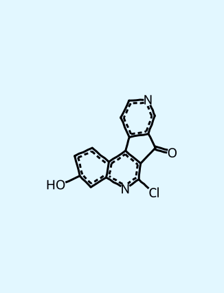 O=C1c2cnccc2-c2c1c(Cl)nc1cc(O)ccc21